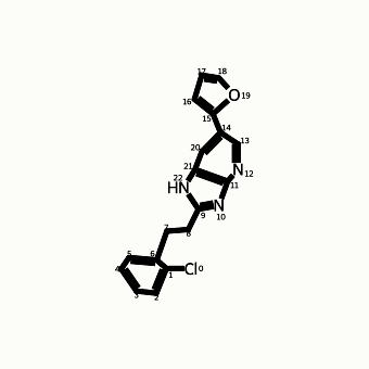 Clc1ccccc1CCc1nc2ncc(-c3ccco3)cc2[nH]1